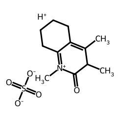 CC1=C2CCCCC2=[N+](C)C(=O)C1C.O=S(=O)([O-])[O-].[H+]